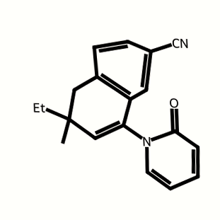 CCC1(C)C=C(n2ccccc2=O)c2cc(C#N)ccc2C1